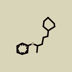 C[C](CCCC1CCCCC1)Oc1ccccc1